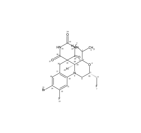 CC(C)C1O[C@H](CF)CN2c3cc(F)c(Br)cc3CC3(C(=O)NC(=O)NC3=O)[C@@H]12